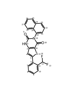 O=c1[nH]c2cc(-c3ccccc3C(F)F)sc2c(=O)n1-c1cccc2ccccc12